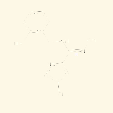 Cc1cc(/C(=N/O)NCc2ccccc2C)no1